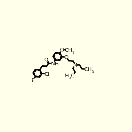 CCCN(CCC)CCOc1cc(NC(=O)C=Cc2ccc(F)cc2Cl)ccc1OC